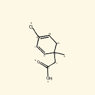 CC1(CC(=O)O)C=CC(Cl)=CC1